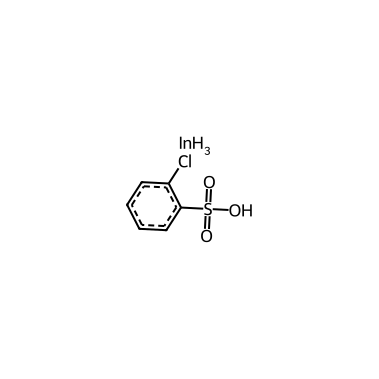 O=S(=O)(O)c1ccccc1Cl.[InH3]